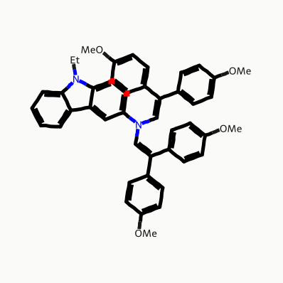 CCn1c2ccccc2c2cc(N(C=C(c3ccc(OC)cc3)c3ccc(OC)cc3)C=C(c3ccc(OC)cc3)c3ccc(OC)cc3)ccc21